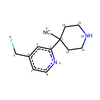 N#CC1(c2cc(CF)ccn2)CCNCC1